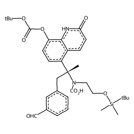 CC(C)(C)OC(=O)Oc1ccc([C@@](C)(Cc2cccc(C=O)c2)N(CCO[Si](C)(C)C(C)(C)C)C(=O)O)c2ccc(=O)[nH]c12